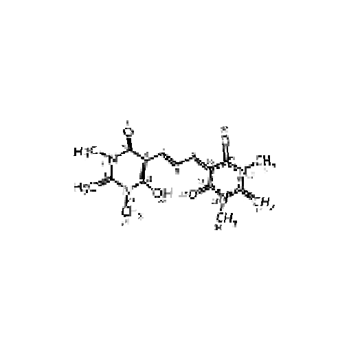 C=C1N(C)C(=O)C(C=CC=c2c(=O)n(C)c(=C)n(C)c2=O)=C(O)N1C